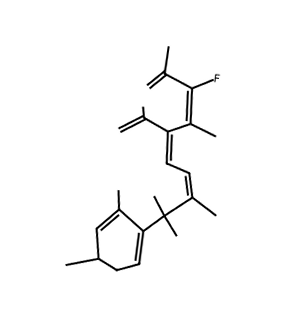 C=C(C)C(=C/C=C(/C)C(C)(C)C1=CCC(C)C=C1C)/C(C)=C(/F)C(=C)C